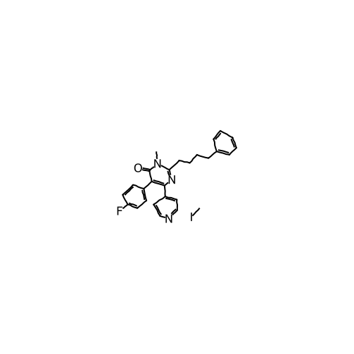 CI.Cn1c(CCCCc2ccccc2)nc(-c2ccncc2)c(-c2ccc(F)cc2)c1=O